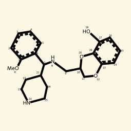 COc1ccccc1C(NCC1COc2cccc(O)c2O1)C1CCNCC1